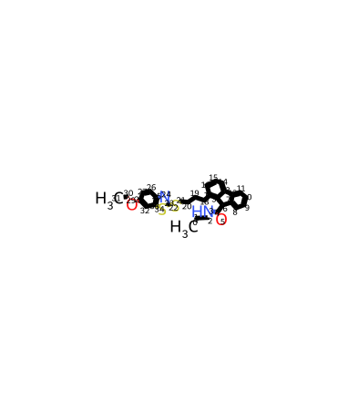 CCCNC(=O)C1c2ccccc2-c2cccc(CCCCSc3nc4ccc(OCC)cc4s3)c21